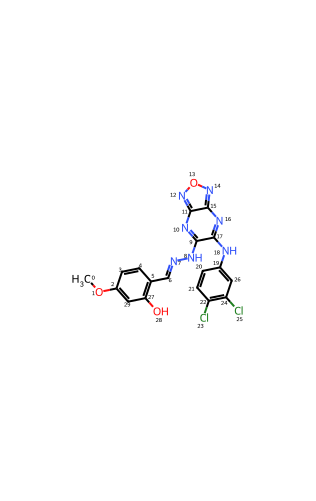 COc1ccc(C=NNc2nc3nonc3nc2Nc2ccc(Cl)c(Cl)c2)c(O)c1